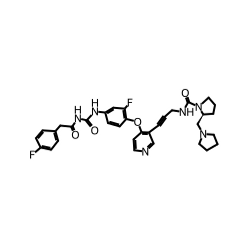 O=C(Cc1ccc(F)cc1)NC(=O)Nc1ccc(Oc2ccncc2C#CCNC(=O)N2CCC[C@H]2CN2CCCC2)c(F)c1